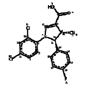 C[C@H]1C(C(=O)O)=NN(c2ccc(Cl)cc2Cl)[C@@H]1c1ccc(F)cc1